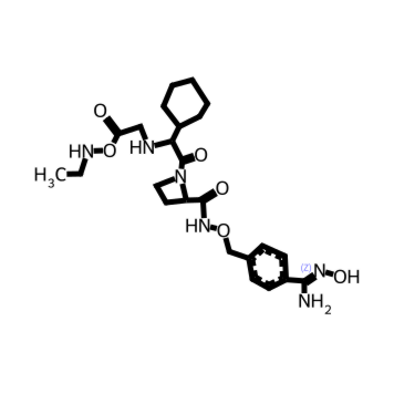 CCNOC(=O)CNC(C(=O)N1CCC1C(=O)NOCc1ccc(/C(N)=N/O)cc1)C1CCCCC1